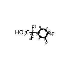 Cc1cc(C(F)(F)C(=O)O)ccc1F